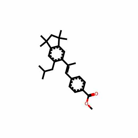 COC(=O)c1ccc(C=C(C)c2cc3c(cc2CC(C)C)C(C)(C)CC3(C)C)cc1